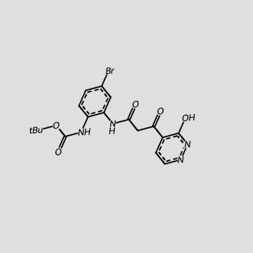 CC(C)(C)OC(=O)Nc1ccc(Br)cc1NC(=O)CC(=O)c1ccnnc1O